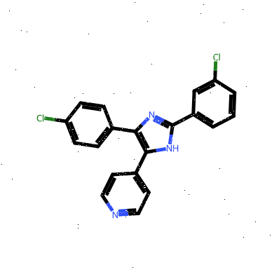 Clc1ccc(-c2nc(-c3cccc(Cl)c3)[nH]c2-c2ccncc2)cc1